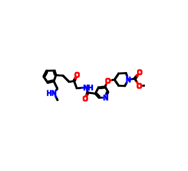 CNCc1ccccc1CCC(=O)CNC(=O)c1cncc(OC2CCN(C(=O)OC)CC2)c1